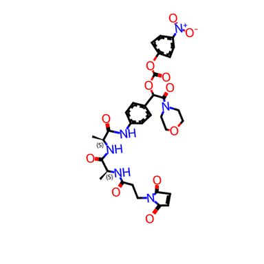 C[C@H](NC(=O)CCN1C(=O)C=CC1=O)C(=O)N[C@@H](C)C(=O)Nc1ccc(C(OC(=O)Oc2ccc([N+](=O)[O-])cc2)C(=O)N2CCOCC2)cc1